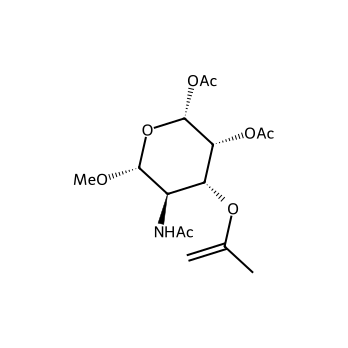 C=C(C)O[C@@H]1[C@@H](NC(C)=O)[C@H](OC)O[C@H](OC(C)=O)[C@@H]1OC(C)=O